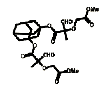 COC(=O)COC(C)(C=O)C(=O)OC12CC3CC(C1)CC(OC(=O)C(C)(C=O)OCC(=O)OC)(C3)C2